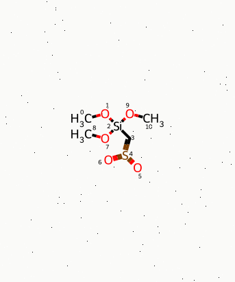 CO[Si](C=S(=O)=O)(OC)OC